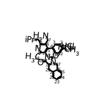 Cc1ccc(-c2c(CN)c(CC(C)C)nc(C)c2N2C(=O)C3Cc4ccccc4CN3C2=O)cc1.Cl.Cl